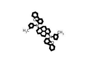 Cc1cccc(N(C2=CC=C3C=CC4=C(N(c5cccc(C)c5)c5cccc6c5oc5ccccc56)C=CC5=CC=C2C3C54)c2cccc3c2oc2ccccc23)c1